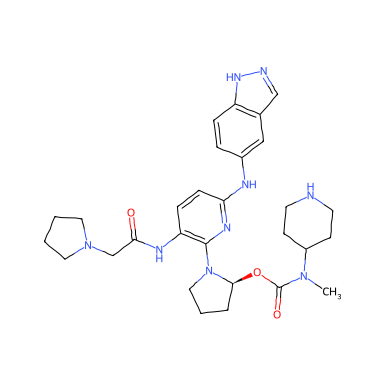 CN(C(=O)O[C@H]1CCCN1c1nc(Nc2ccc3[nH]ncc3c2)ccc1NC(=O)CN1CCCC1)C1CCNCC1